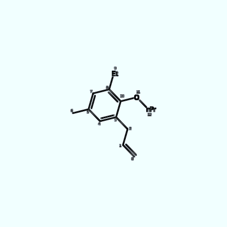 C=CCc1cc(C)cc(CC)c1OCCC